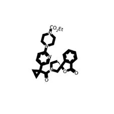 CCOC(=O)N1CCN(c2ccc(C3(C(=O)N4CC[C@@]5(C4)OC(=O)c4ccccc45)CC3)cn2)CC1